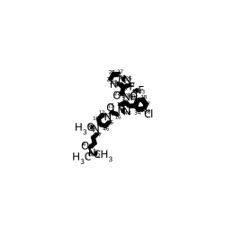 CN(C)C(=O)CCCN(C)C1CCN(C(=O)Cn2cc(NC(=O)c3cnn4cccnc34)c(-c3cc(Cl)ccc3OC(F)F)n2)CC1